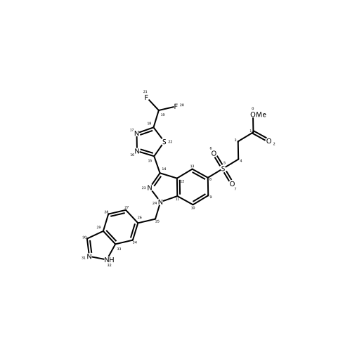 COC(=O)CCS(=O)(=O)c1ccc2c(c1)c(-c1nnc(C(F)F)s1)nn2Cc1ccc2cn[nH]c2c1